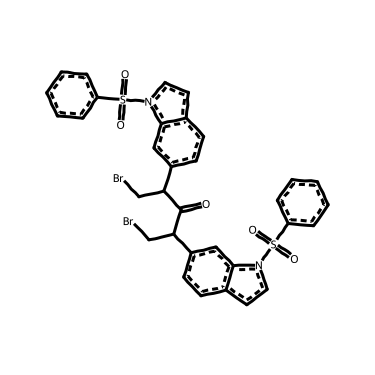 O=C(C(CBr)c1ccc2ccn(S(=O)(=O)c3ccccc3)c2c1)C(CBr)c1ccc2ccn(S(=O)(=O)c3ccccc3)c2c1